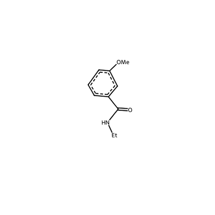 CCNC(=O)c1cccc(OC)c1